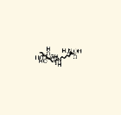 CC[C@@H](O)[C@@H](O)[C@H](O)[C@@H](O)CN(C)C(=O)NCCCC[C@H](N)C(=O)O